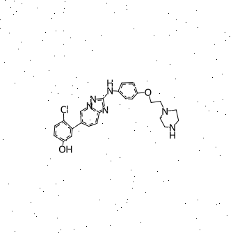 Oc1ccc(Cl)c(-c2ccc3nc(Nc4ccc(OCCN5CCNCC5)cc4)nn3c2)c1